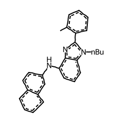 CCCCn1c(-c2ccccc2C)nc2c(Nc3ccc4ccccc4c3)cccc21